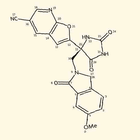 COc1ccc2c(c1)C(=O)N(C[C@@]1(c3cc4cc(C#N)cnc4o3)NC(=O)NC1=O)C2